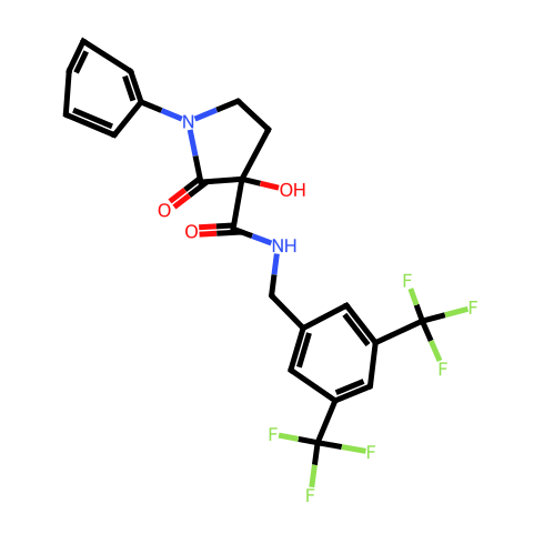 O=C(NCc1cc(C(F)(F)F)cc(C(F)(F)F)c1)C1(O)CCN(c2ccccc2)C1=O